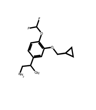 NCC(O)c1ccc(OC(F)F)c(OCC2CC2)c1